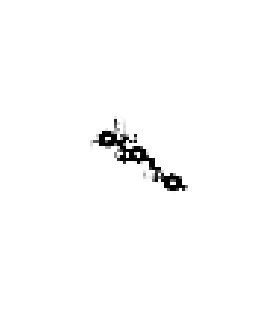 Cc1ccc(NCCCc2ccc3c(c2)CO/C3=C2/C(=O)Nc3ccc(F)cc32)cc1